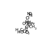 CC(C)C(=O)N1[C@H](C)CN([C@H](CC(C)(O)C(F)(F)F)c2ccccc2)C[C@@H]1C(=O)NCc1ccc(-c2ncccn2)cc1